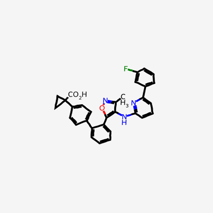 Cc1noc(-c2ccccc2-c2ccc(C3(C(=O)O)CC3)cc2)c1Nc1cccc(-c2cccc(F)c2)n1